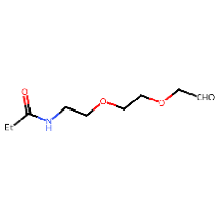 CCC(=O)NCCOCCOCC=O